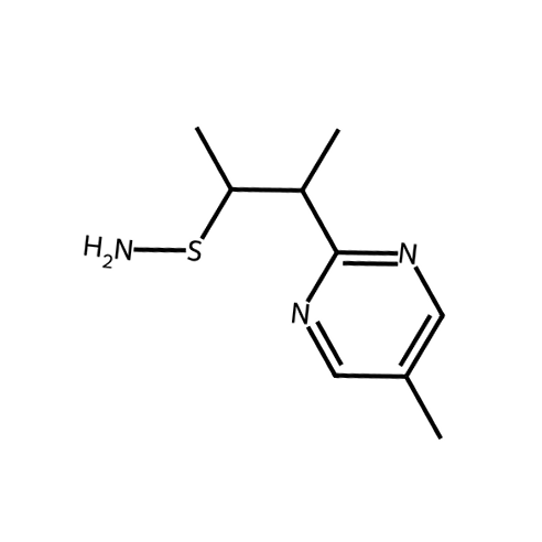 Cc1cnc(C(C)C(C)SN)nc1